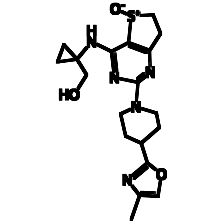 Cc1coc(C2CCN(c3nc4c(c(NC5(CO)CC5)n3)[S+]([O-])CC4)CC2)n1